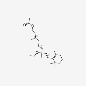 CCOC(C)(/C=C/C/C(C)=C/COC(C)=O)/C=C/C1=C(C)CCCC1(C)C